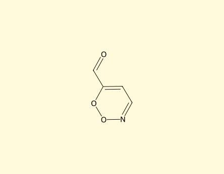 O=CC1=CC=NOO1